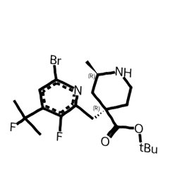 C[C@@H]1C[C@](Cc2nc(Br)cc(C(C)(C)F)c2F)(C(=O)OC(C)(C)C)CCN1